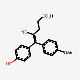 COc1ccc(C(=C(C#N)CCC(=O)O)c2ccc(O)cc2)cc1